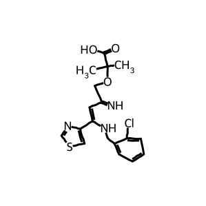 CC(C)(OCC(=N)/C=C(\NCc1ccccc1Cl)c1cscn1)C(=O)O